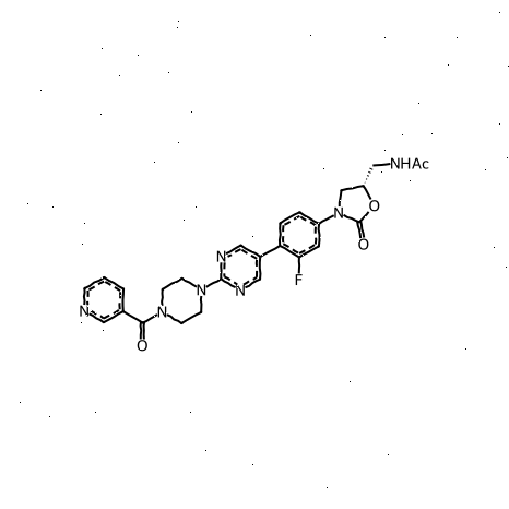 CC(=O)NC[C@H]1CN(c2ccc(-c3cnc(N4CCN(C(=O)c5cccnc5)CC4)nc3)c(F)c2)C(=O)O1